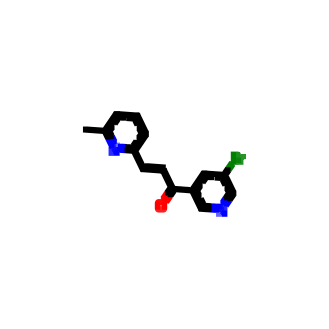 Cc1cccc(/C=C/C(=O)c2cncc(Br)c2)n1